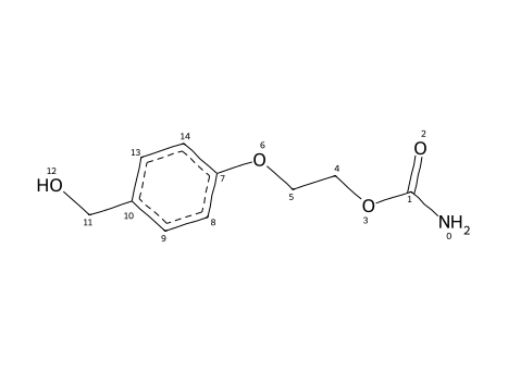 NC(=O)OCCOc1ccc(CO)cc1